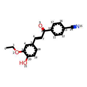 CCOc1cc(/C=C/C(=O)c2ccc(C#N)cc2)ccc1O